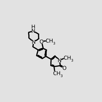 COc1cc(-c2cc(C)c(=O)n(C)c2)ccc1CN1CCNCC1